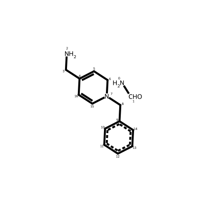 NC=O.NCC1=CCN(Cc2ccccc2)C=C1